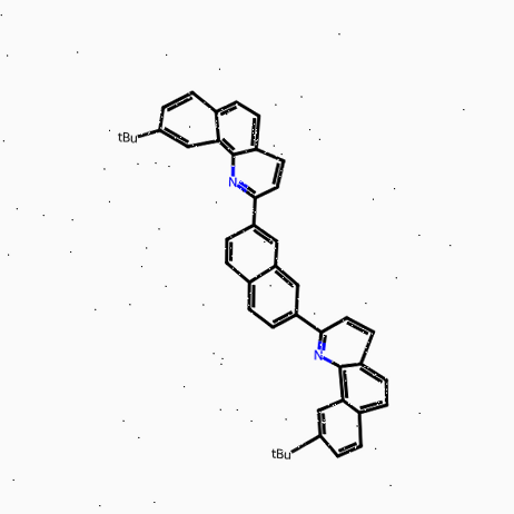 CC(C)(C)c1ccc2ccc3ccc(-c4ccc5ccc(-c6ccc7ccc8ccc(C(C)(C)C)cc8c7n6)cc5c4)nc3c2c1